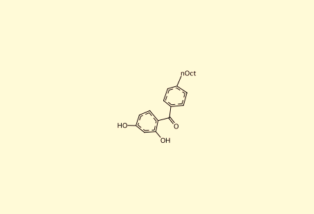 CCCCCCCCc1ccc(C(=O)c2ccc(O)cc2O)cc1